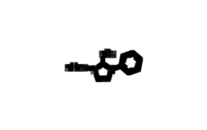 CCCCCCN1C=CN(c2ccccc2)C1CCCC